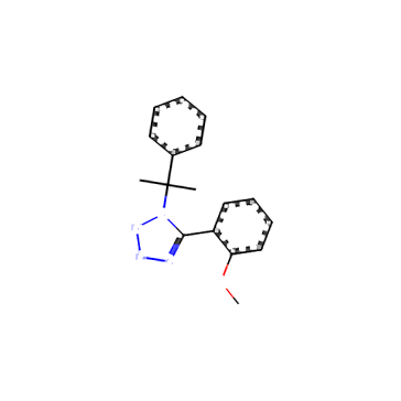 COc1ccccc1C1=NNNN1C(C)(C)c1ccccc1